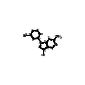 Nc1ncc2c(Cl)cn(-c3cccc(Br)c3)c2n1